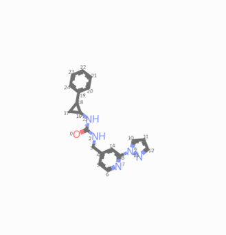 O=C(NCc1ccnc(-n2cccn2)c1)NC1CC1c1ccccc1